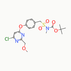 COCc1nc(Cl)cc(Oc2ccc(CS(=O)(=O)N(C)C(=O)OC(C)(C)C)cc2)n1